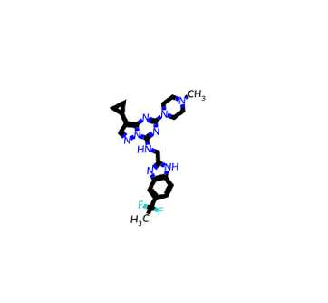 CN1CCN(c2nc(NCc3nc4cc(C(C)(F)F)ccc4[nH]3)n3ncc(C4CC4)c3n2)CC1